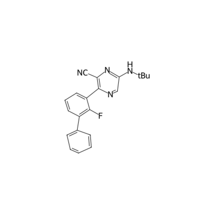 CC(C)(C)Nc1cnc(-c2cccc(-c3ccccc3)c2F)c(C#N)n1